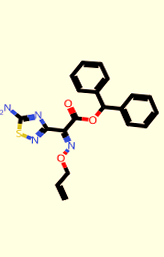 C=CCON=C(C(=O)OC(c1ccccc1)c1ccccc1)c1nsc(N)n1